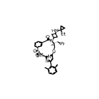 CCC1(NC2CC(N3C(=O)c4cccc(c4)S(=O)(=O)Nc4nc(cc(-c5c(C)cccc5C)n4)OC[C@H]3CC(C)C)C2)CC1